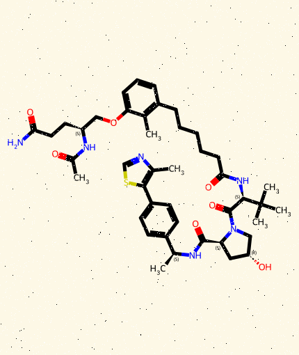 CC(=O)N[C@@H](CCC(N)=O)COc1cccc(CCCCCC(=O)N[C@H](C(=O)N2C[C@H](O)C[C@H]2C(=O)N[C@@H](C)c2ccc(-c3scnc3C)cc2)C(C)(C)C)c1C